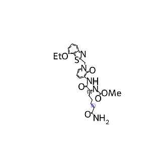 CCOc1cccc2nc(Cn3cccc(NC(=O)[C@H](CC/C=C/C(N)=O)NC(=O)OC)c3=O)sc12